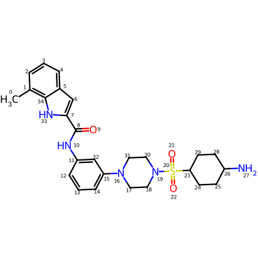 Cc1cccc2cc(C(=O)Nc3cccc(N4CCN(S(=O)(=O)C5CCC(N)CC5)CC4)c3)[nH]c12